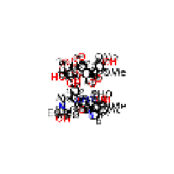 CC[C@]1(O)C[C@H]2C[N@](CCc3c([nH]c4ccccc34)[C@@](C(=O)OC)(c3cc4c(cc3OC)N(C=O)[C@H]3[C@@](O)(C(=O)OC)[C@H](OC(C)=O)[C@]5(CC)C=CCN6CC[C@]43[C@@H]65)C2)C1.COc1cc([C@@H]2c3cc4c(cc3C(O[C@@H]3O[C@@H]5CO[C@@H](C)O[C@H]5[C@H](O)[C@H]3O)C3COC(=O)[C@@H]32)OCO4)cc(OC)c1O